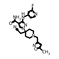 Cc1cc(CN2CCC(CC#N)(n3cc(C(N)=O)c(Nc4ccnc(F)c4)n3)CC2)no1